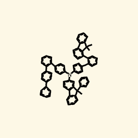 CC1(C)c2ccccc2-c2cccc(-c3ccccc3-c3ccc(N(c4ccc(-c5ccccc5-c5ccc(-c6ccccc6)cc5)cc4)c4ccc5c(c4)C(C)(c4ccccc4)c4ccccc4-5)cc3)c21